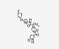 C[C@H](C(=O)Nc1ccc(Oc2ccc(F)cc2)cn1)N1CCN(C(=O)c2ccc(=O)[nH]c2)C2(CC2)C1